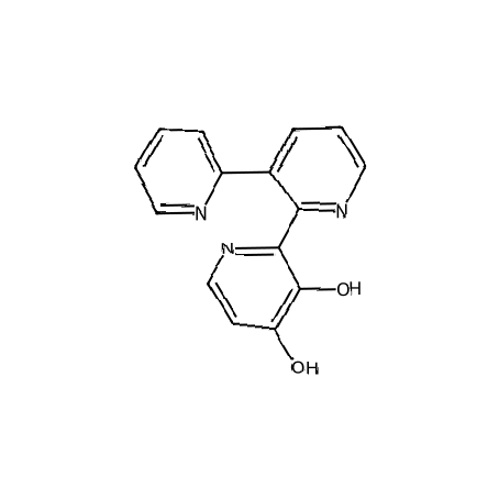 Oc1ccnc(-c2ncccc2-c2ccccn2)c1O